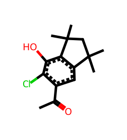 CC(=O)c1cc2c(c(O)c1Cl)C(C)(C)CC2(C)C